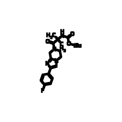 CC(C)(C)OC(=O)NC(C)(C)C(=O)N1CCn2cc(-c3ccc(F)cc3)nc2C1